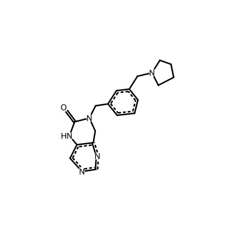 O=C1Nc2cncnc2CN1Cc1cccc(CN2CCCC2)c1